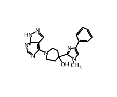 Cn1cc(-c2ccccc2)nc1C1(O)CCN(c2ncnc3[nH]ncc23)CC1